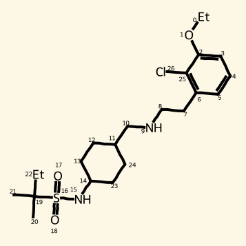 CCOc1cccc(CCNCC2CCC(NS(=O)(=O)C(C)(C)CC)CC2)c1Cl